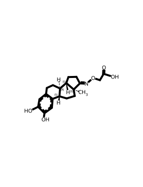 C[C@]12CC[C@@H]3c4cc(O)c(O)cc4CC[C@H]3[C@@H]1CCC2=NOCC(=O)O